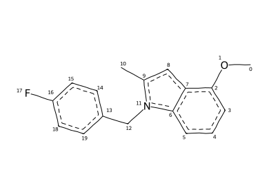 COc1cccc2c1cc(C)n2Cc1ccc(F)cc1